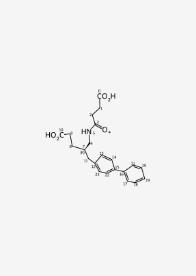 O=C(O)CCC(=O)NC[C@H](CCC(=O)O)Cc1ccc(-c2ccccc2)cc1